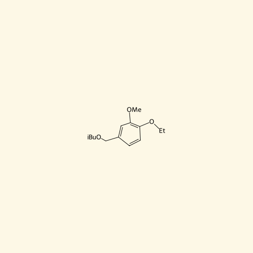 CCOc1ccc(COCC(C)C)cc1OC